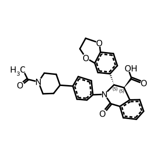 CC(=O)N1CCC(c2ccc(N3C(=O)c4ccccc4[C@H](C(=O)O)[C@H]3c3ccc4c(c3)OCCO4)cc2)CC1